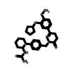 COc1ccc(C2=NN(Cc3ccc(N4CCCCC4NC(C)=O)cc3)C(=O)CC2)cc1OC1CCCC1